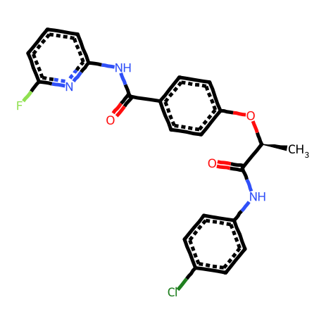 C[C@H](Oc1ccc(C(=O)Nc2cccc(F)n2)cc1)C(=O)Nc1ccc(Cl)cc1